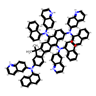 CC1(C)c2cc(N(c3ccc4ncccc4c3)c3cccc4ccccc34)ccc2-c2cc3c(N(c4ccc5ncccc5c4)c4cccc5ccccc45)c4cc(N(c5ccc6ncccc6c5)c5cccc6ccccc56)ccc4c(N(c4ccc5ncccc5c4)c4cccc5ccccc45)c3cc21